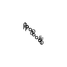 CCOc1ccc(C2CCC(C(=O)OC3CCC(C4CCC(c5ccc(OCC)c(F)c5F)CC4)CC3)CC2)c(F)c1F